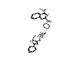 Cc1oc(-c2ccccc2)cc1CNC[C@H]1CC[C@@H](Nc2nc(N(C)C)c3ccccc3n2)CC1